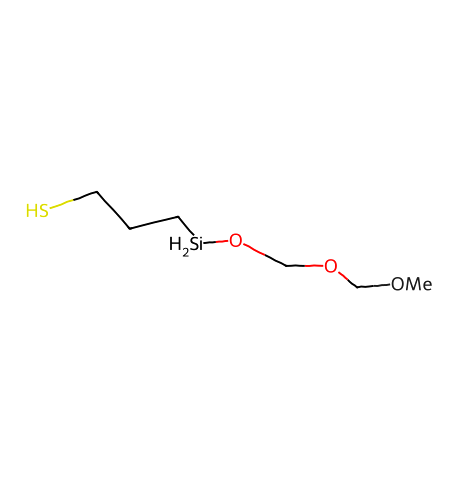 COCOCO[SiH2]CCCS